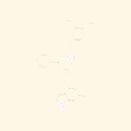 COc1ccc(CCNCC(COc2cc(C)cc3[nH]ccc23)OC(=O)c2ccccc2)cc1OC